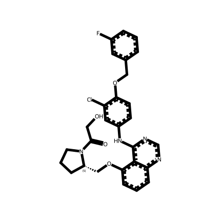 O=C(CO)N1CCC[C@H]1COc1cccc2ncnc(Nc3ccc(OCc4cccc(F)c4)c(Cl)c3)c12